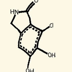 O=C1NCc2cc(O)c(O)c(Cl)c21